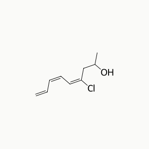 C=C/C=C\C=C(\Cl)CC(C)O